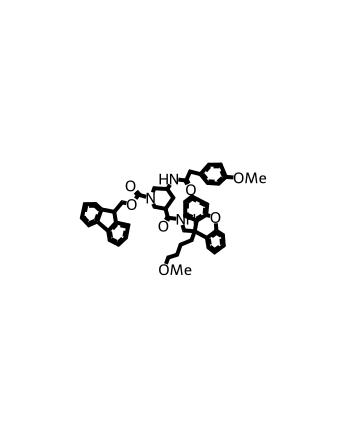 COCCCCC1(CNC(=O)C2CC(NC(=O)Cc3ccc(OC)cc3)CN(C(=O)OCC3c4ccccc4-c4ccccc43)C2)c2ccccc2Oc2ccccc21